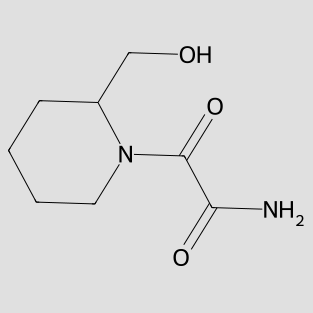 NC(=O)C(=O)N1CCCCC1CO